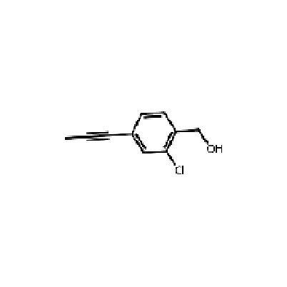 CC#Cc1ccc(CO)c(Cl)c1